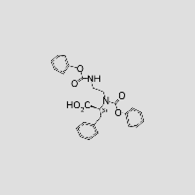 O=C(NCCN(C(=O)Oc1ccccc1)[C@@H](Cc1ccccc1)C(=O)O)Oc1ccccc1